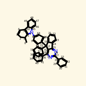 CC1CC=Cc2c1n(-c1ccc(C3(c4ccccc4)c4ccccc4-c4nc(-c5ccccc5)nc(-c5ccccc5)c43)cc1)c1ccccc21